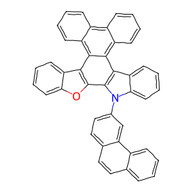 c1ccc2c(c1)ccc1ccc(-n3c4ccccc4c4c5c6ccccc6c6ccccc6c5c5c6ccccc6oc5c43)cc12